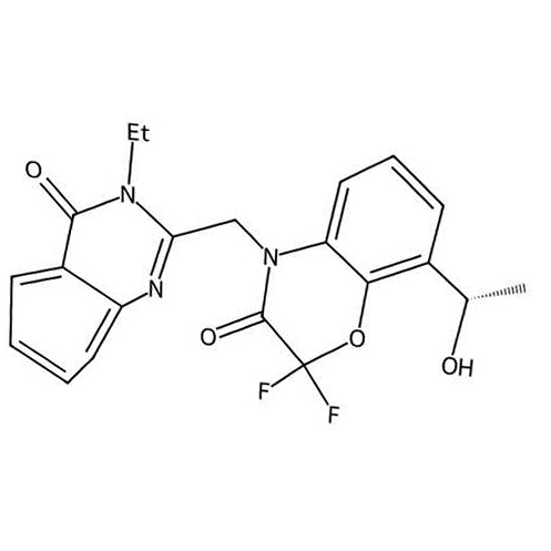 CCn1c(CN2C(=O)C(F)(F)Oc3c([C@H](C)O)cccc32)nc2ccccc2c1=O